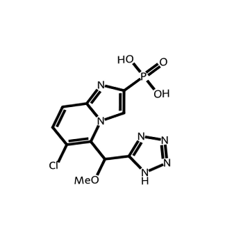 COC(c1nnn[nH]1)c1c(Cl)ccc2nc(P(=O)(O)O)cn12